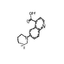 O=C(O)c1ccnc2ccc(N3CCC[C@@H](F)C3)cc12